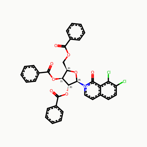 O=C(OC[C@H]1O[C@@H](n2ccc3ccc(Cl)c(Cl)c3c2=O)[C@H](OC(=O)c2ccccc2)[C@H]1OC(=O)c1ccccc1)c1ccccc1